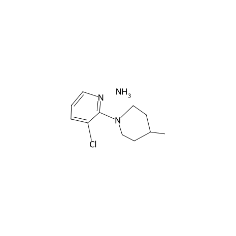 CC1CCN(c2ncccc2Cl)CC1.N